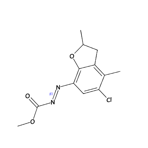 COC(=O)/N=N/c1cc(Cl)c(C)c2c1OC(C)C2